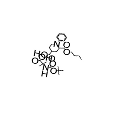 CC(C)(C)OC(=O)NC(C)(C)C(=O)O.CCCCOC(=O)C1CC(C(=O)O)CCN1c1ccccc1